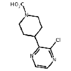 O=C(O)N1CCC(c2nccnc2Cl)CC1